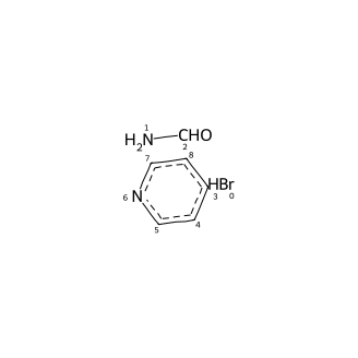 Br.NC=O.c1ccncc1